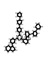 c1ccc(-c2ccc(-c3ccc(-c4nc(-c5cccc(-c6cccc7ccccc67)c5)nc(-c5cccc6oc7c(-c8cccc(-c9ccccc9)c8)cccc7c56)n4)cc3)cc2)cc1